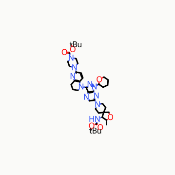 C[C@@H]1OCC2(CCN(c3cnc4c(N5CCCc6nc(N7CCN(C(=O)OC(C)(C)C)CC7)ccc65)nn(C5CCCCO5)c4n3)CC2)[C@@H]1NC(=O)OC(C)(C)C